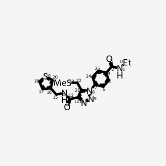 CCNC(=O)c1ccc(-n2nnc(C(=O)NCc3ccsc3)c2CSC)cc1